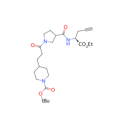 C#CC[C@H](NC(=O)C1CCN(C(=O)CCC2CCN(C(=O)OC(C)(C)C)CC2)C1)C(=O)OCC